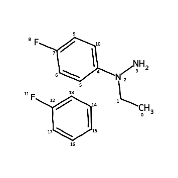 CCN(N)c1ccc(F)cc1.Fc1ccccc1